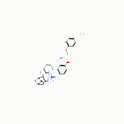 COc1ccc(CCn2cnc3cc(N=C(NC4C[C@H]5C[C@H]([C@H]4C)C5(C)C)N4CCCCC4)ccc3c2=O)c(F)c1